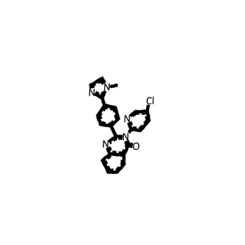 Cn1ccnc1-c1ccc(-c2nc3ccccc3c(=O)n2-c2ccc(Cl)cn2)cc1